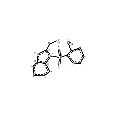 Cc1ccccc1S(=O)(=O)n1c(CBr)nc2ccccc21